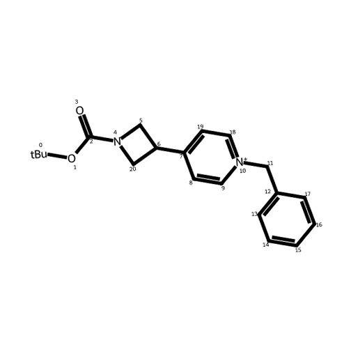 CC(C)(C)OC(=O)N1CC(c2cc[n+](Cc3ccccc3)cc2)C1